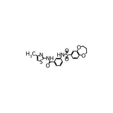 Cc1csc(NC(=O)c2cccc(NS(=O)(=O)c3ccc4c(c3)OCCCO4)c2)n1